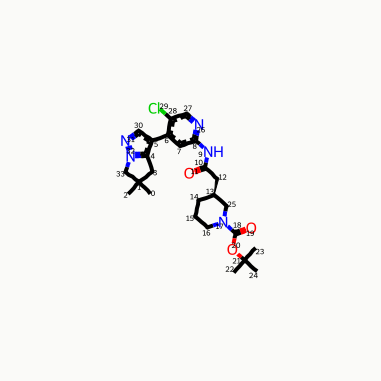 CC1(C)Cc2c(-c3cc(NC(=O)C[C@@H]4CCCN(C(=O)OC(C)(C)C)C4)ncc3Cl)cnn2C1